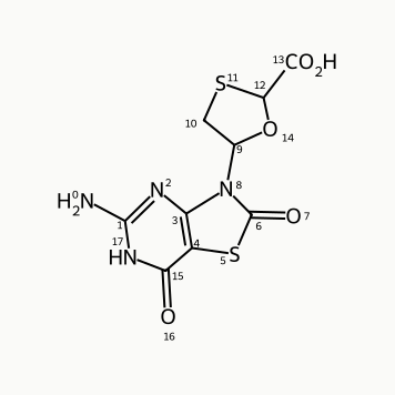 Nc1nc2c(sc(=O)n2C2CSC(C(=O)O)O2)c(=O)[nH]1